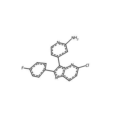 Nc1cc(-c2c(-c3ccc(F)cc3)nc3ccc(Cl)nn23)ccn1